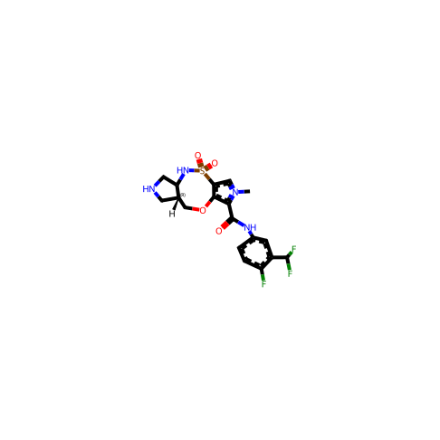 Cn1cc2c(c1C(=O)Nc1ccc(F)c(C(F)F)c1)OC[C@@H]1CNCC1NS2(=O)=O